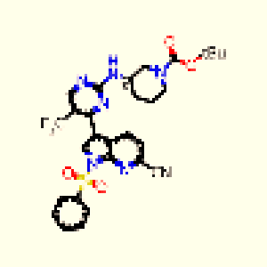 CC(C)(C)OC(=O)N1CCC[C@H](Nc2ncc(C(F)(F)F)c(-c3cn(S(=O)(=O)c4ccccc4)c4nc(C#N)ccc34)n2)C1